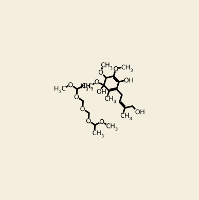 COC(C)OCOCOC(C)OC.COC1=C(O)C(CC=C(C)CO)=C(C)C(O)(OC)C1OC